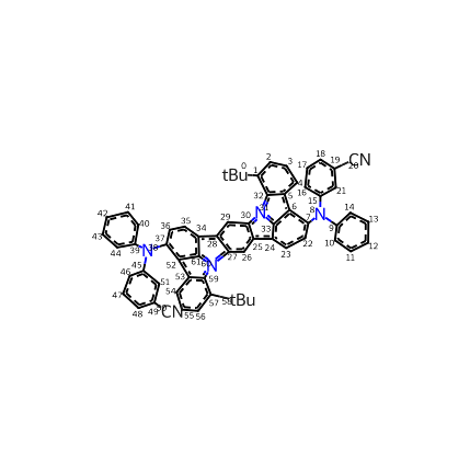 CC(C)(C)c1cccc2c3c(N(c4ccccc4)c4cccc(C#N)c4)ccc4c5cc6c(cc5n(c12)c43)c1ccc(N(c2ccccc2)c2cccc(C#N)c2)c2c3cccc(C(C)(C)C)c3n6c12